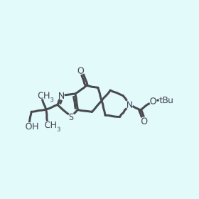 CC(C)(C)OC(=O)N1CCC2(CC1)CC(=O)c1nc(C(C)(C)CO)sc1C2